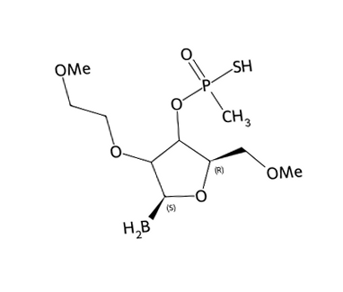 B[C@@H]1O[C@H](COC)C(OP(C)(=O)S)C1OCCOC